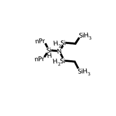 CCC[SiH](CCC)N([SiH2]C[SiH3])[SiH2]C[SiH3]